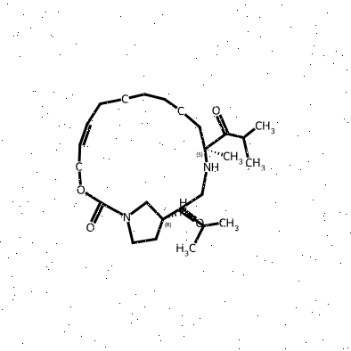 CC(C)N[C@]12CCN(C1)C(=O)OCC=CCCCCCC[C@@](C)(C(=O)C(C)C)NCC2=O